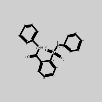 O=C(Nc1ccccc1)c1ccccc1S(=O)(=O)Nc1ccccc1